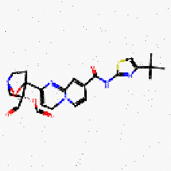 CC(C)(C)c1csc(NC(=O)C2=CC3=NC(C45CCN(C[C@@]4(C=O)OC=O)O5)=CCN3C=C2)n1